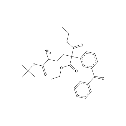 CCOC(=O)C(CCC(N)C(=O)OC(C)(C)C)(C(=O)OCC)c1cccc(C(=O)c2ccccc2)c1